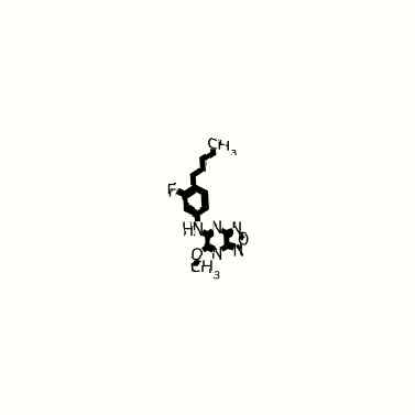 CCCCCc1ccc(Nc2nc3nonc3nc2OC)cc1F